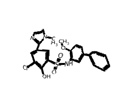 COc1ccc(-c2ccccc2)cc1NS(=O)(=O)c1cc(-c2nccn2C)cc(Cl)c1O